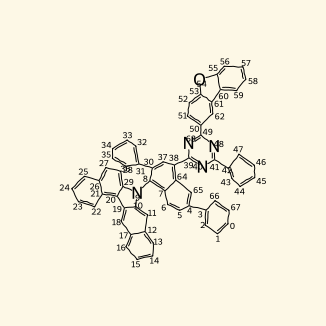 c1ccc(-c2ccc3c(-n4c5cc6ccccc6cc5c5c6ccccc6ccc54)c(-c4ccccc4)cc(-c4nc(-c5ccccc5)nc(-c5ccc6oc7ccccc7c6c5)n4)c3c2)cc1